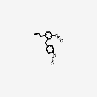 C=CCc1ccc(N=C=O)cc1Cc1ccc(N=C=O)cc1